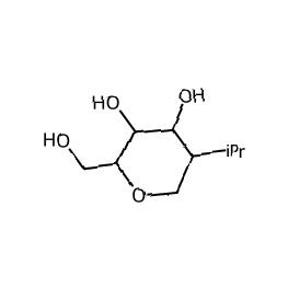 CC(C)C1COC(CO)C(O)C1O